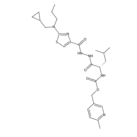 CCCN(CC1CC1)c1nc(C(=O)NNC(=O)[C@H](CC(C)C)NC(=O)OCc2ccc(C)nc2)cs1